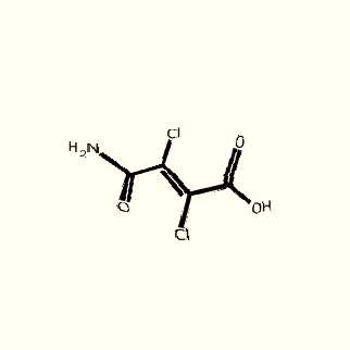 NC(=O)C(Cl)=C(Cl)C(=O)O